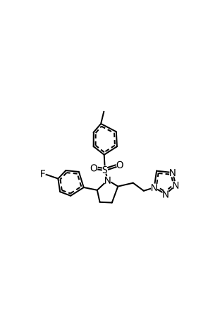 Cc1ccc(S(=O)(=O)N2C(CCn3cnnn3)CCC2c2ccc(F)cc2)cc1